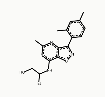 CCC(CO)Nc1nc(C)nc2c(-c3ccc(C)cc3C)noc12